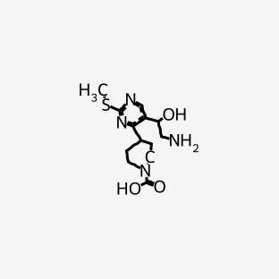 CSc1ncc(C(O)CN)c(C2CCN(C(=O)O)CC2)n1